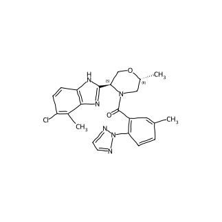 Cc1ccc(-n2nccn2)c(C(=O)N2C[C@@H](C)OC[C@@H]2c2nc3c(C)c(Cl)ccc3[nH]2)c1